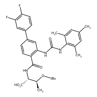 Cc1cc(C)c(NC(=O)Nc2cc(-c3ccc(F)c(F)c3)ccc2C(=O)N[C@@H](C(=O)O)[C@H](C)OC(C)(C)C)c(C)c1